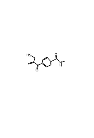 C=C(CS)C(=O)c1ccc(C(=O)NC)cc1